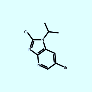 CC(C)n1c(Cl)nc2ncc(Br)cc21